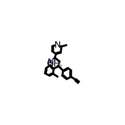 C#Cc1ccc([C@@H](C/C(=N\O)c2ccnc(C)c2)c2ccccc2C)cc1